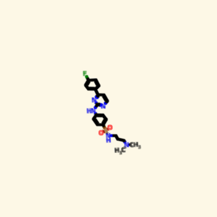 CN(C)CCCNS(=O)(=O)c1ccc(Nc2nccc(-c3ccc(F)cc3)n2)cc1